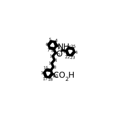 O=C(Nc1ccccc1CCCCCc1ccccc1C(=O)O)c1ccccc1